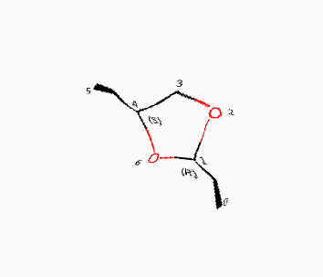 C[C@@H]1OC[C@H](C)O1